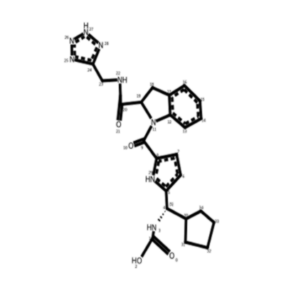 O=C(O)N[C@H](c1ccc(C(=O)N2c3ccccc3CC2C(=O)NCc2nn[nH]n2)[nH]1)C1CCCC1